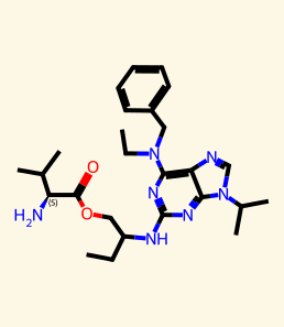 CCC(COC(=O)[C@@H](N)C(C)C)Nc1nc(N(CC)Cc2ccccc2)c2ncn(C(C)C)c2n1